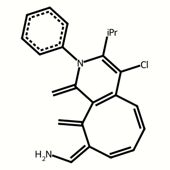 C=C1C2=C(\C=C/C=C\C1=C\N)C(Cl)=C(C(C)C)N(c1ccccc1)C2=C